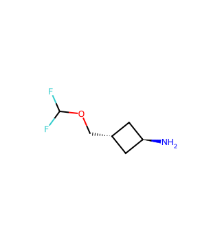 N[C@H]1C[C@H](COC(F)F)C1